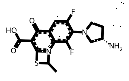 CC1Sc2c(C(=O)O)c(=O)c3cc(F)c(N4CC[C@H](N)C4)c(F)c3n21